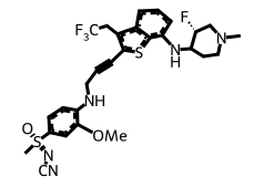 COc1cc(S(C)(=O)=NC#N)ccc1NCC#Cc1sc2c(NC3CCN(C)C[C@H]3F)cccc2c1CC(F)(F)F